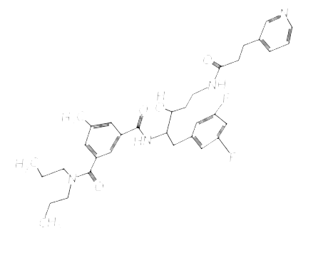 CCCN(CCC)C(=O)c1cc(C)cc(C(=O)NC(Cc2cc(F)cc(F)c2)C(O)CCNC(=O)CCc2cccnc2)c1